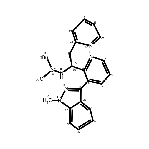 Cn1nc(-c2cccnc2[C@H](Cc2ccccn2)N[S+]([O-])C(C)(C)C)c2ccccc21